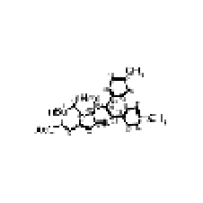 CCCCCCC(CCCC)n1c(CCOC(C)=O)cc2nc(-c3ccc(C)cc3)c(-c3ccc(C)cc3)nc21